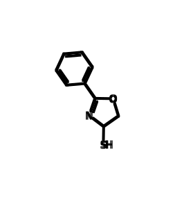 SC1COC(c2ccccc2)=N1